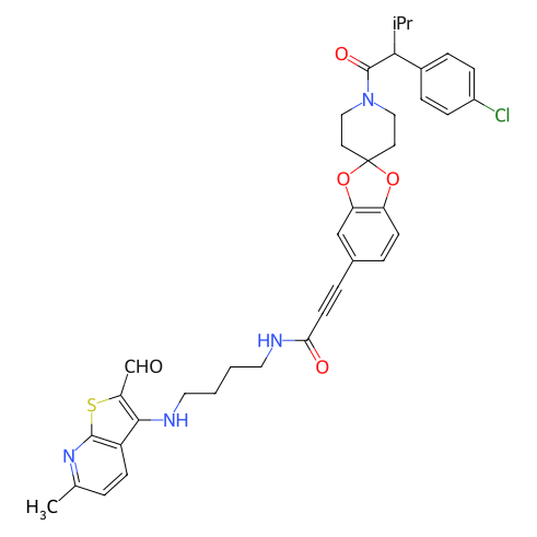 Cc1ccc2c(NCCCCNC(=O)C#Cc3ccc4c(c3)OC3(CCN(C(=O)C(c5ccc(Cl)cc5)C(C)C)CC3)O4)c(C=O)sc2n1